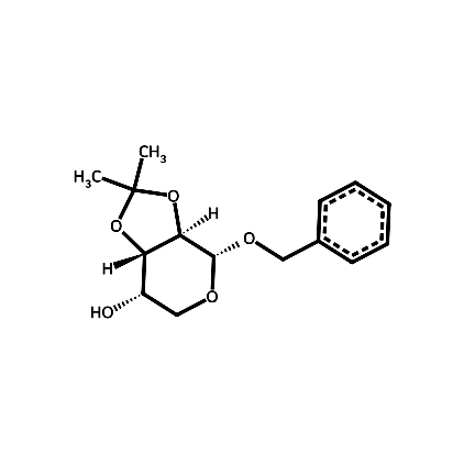 CC1(C)O[C@@H]2[C@@H](O1)[C@H](OCc1ccccc1)OC[C@@H]2O